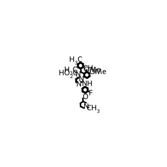 COc1cccc(C(c2c(C)cc(C)cc2C)N(C(=O)O)c2ccnc(Nc3ccc(OCC4CCCN(C)C4)c(F)c3)n2)c1OC